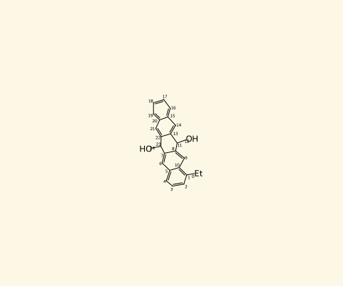 CCc1cccc2cc3c(cc12)C(O)c1cc2ccccc2cc1C3O